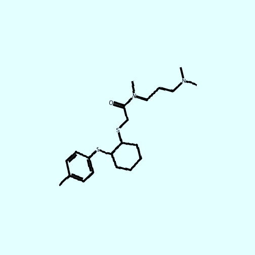 Cc1ccc(SC2CCCCC2SCC(=O)N(C)CCCN(C)C)cc1